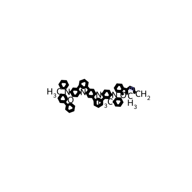 C=C/C=C\c1c(C)oc2c(N(c3ccc4c(c3)c3cccc5c6cc7c(cc6n4c35)c3cccc4c5cc(N(c6ccccc6C)c6cccc8c6oc6ccccc68)ccc5n7c43)c3ccccc3C)cccc12